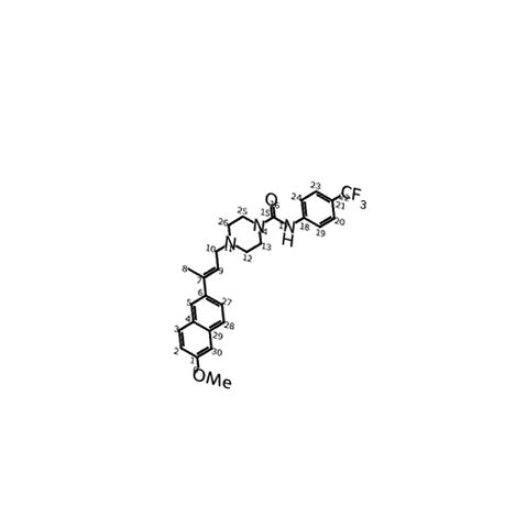 COc1ccc2cc(/C(C)=C/CN3CCN(C(=O)Nc4ccc(C(F)(F)F)cc4)CC3)ccc2c1